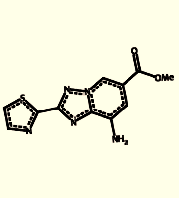 COC(=O)c1cc(N)c2nc(-c3nccs3)nn2c1